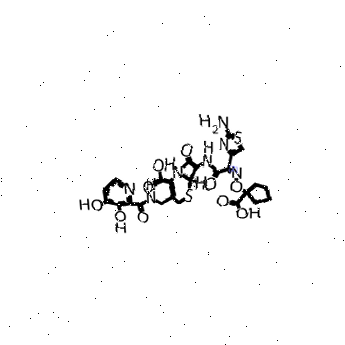 Nc1nc(/C(=N/OC2(C(=O)O)CCCC2)C(=O)NC2C(=O)N3C(C(=O)O)=C(CNC(=O)c4nccc(O)c4O)CS[C@@H]23)cs1